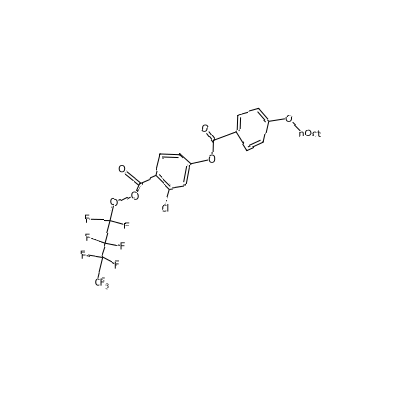 CCCCCCCCOc1ccc(C(=O)Oc2ccc(C(=O)OOC(F)(F)C(F)(F)C(F)(F)C(F)(F)F)c(Cl)c2)cc1